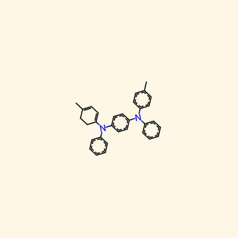 CC1=CC=C(N(c2ccccc2)c2ccc(N(c3ccccc3)c3ccc(C)cc3)cc2)CC1